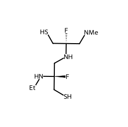 CCN[C@@](F)(CS)CN[C@@](F)(CS)CNC